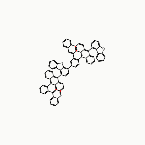 c1ccc(-c2c3ccccc3c(-c3ccc(-c4ccc(-c5c6ccccc6c(-c6cccc7oc8ccccc8c67)c6ccccc56)c(-c5ccc6ccccc6c5)c4)c4oc5ccccc5c34)c3ccccc23)c(-c2cccc3ccccc23)c1